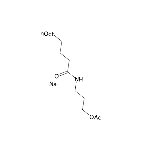 CCCCCCCCCCCC(=O)NCCCOC(C)=O.[Na]